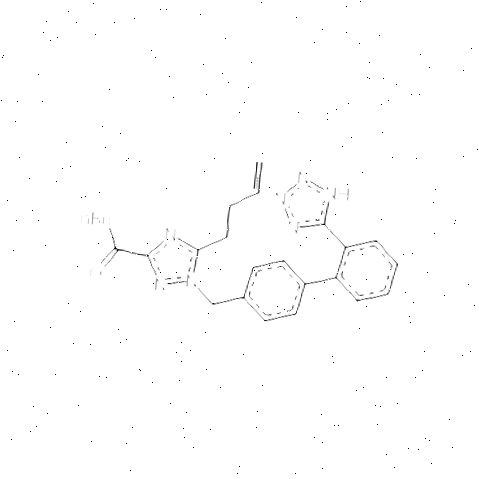 C=CCCc1nc(C(=O)CCCC)nn1Cc1ccc(-c2ccccc2-c2nnn[nH]2)cc1